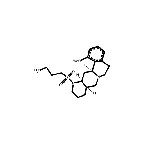 COc1cccc2c1[C@@H]1C[C@H]3[C@H](CCCN3S(=O)(=O)CCCN)CN1CC2